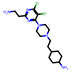 NCCc1nc(Cl)c(Cl)c(N2CCN(CCC3CCC(N)CC3)CC2)n1